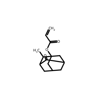 C=CC(=O)OC12CC3CC(C1)C(=O)C(C3)C2C